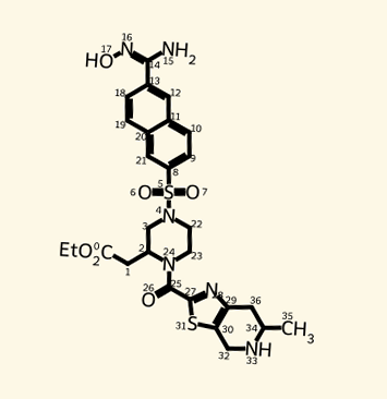 CCOC(=O)CC1CN(S(=O)(=O)c2ccc3cc(/C(N)=N\O)ccc3c2)CCN1C(=O)c1nc2c(s1)CNC(C)C2